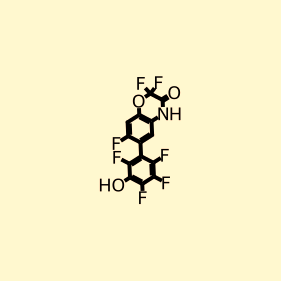 O=C1Nc2cc(-c3c(F)c(O)c(F)c(F)c3F)c(F)cc2OC1(F)F